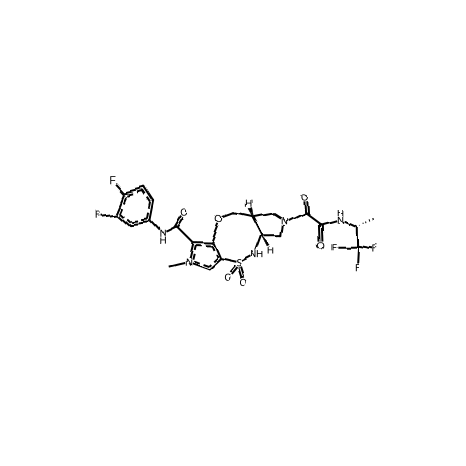 C[C@@H](NC(=O)C(=O)N1C[C@H]2COc3c(cn(C)c3C(=O)Nc3ccc(F)c(F)c3)S(=O)(=O)N[C@H]2C1)C(F)(F)F